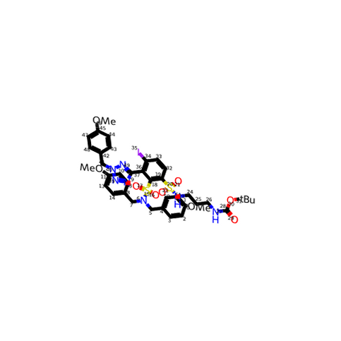 COc1ccc(CN(Cc2ccc(OC)cc2)S(=O)(=O)c2c(S(=O)(=O)NCCCNC(=O)OC(C)(C)C)ccc(I)c2-c2nnn(Cc3ccc(OC)cc3)n2)cc1